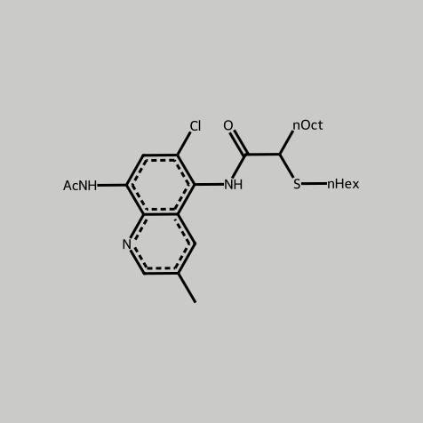 CCCCCCCCC(SCCCCCC)C(=O)Nc1c(Cl)cc(NC(C)=O)c2ncc(C)cc12